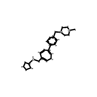 CN1CCN(Cc2ccc(C3=CCC=C(COC4CCCC4)C=C3)cc2)CC1